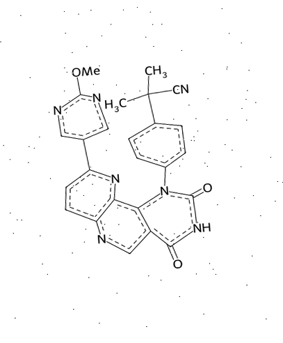 COc1ncc(-c2ccc3ncc4c(=O)[nH]c(=O)n(-c5ccc(C(C)(C)C#N)cc5)c4c3n2)cn1